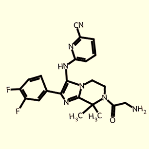 CC1(C)c2nc(-c3ccc(F)c(F)c3)c(Nc3cccc(C#N)n3)n2CCN1C(=O)CN